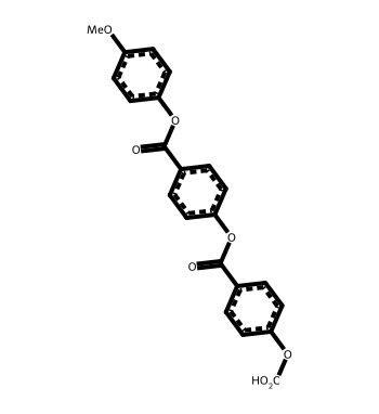 COc1ccc(OC(=O)c2ccc(OC(=O)c3ccc(OC(=O)O)cc3)cc2)cc1